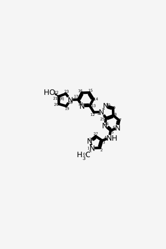 Cn1cc(Nc2ncc3cnn(Cc4cccc(N5CC[C@@H](O)C5)n4)c3n2)cn1